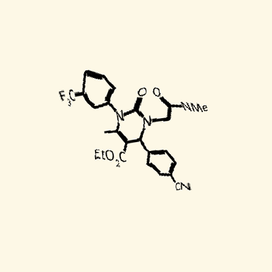 CCOC(=O)C1=C(C)N(c2cccc(C(F)(F)F)c2)C(=O)N(CC(=O)NC)C1c1ccc(C#N)cc1